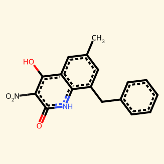 Cc1cc(Cc2ccccc2)c2[nH]c(=O)c([N+](=O)[O-])c(O)c2c1